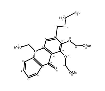 COCOc1cc(CO[SiH2]C(C)(C)C)c(OCOC)c(OCOC)c1C(=O)c1ccccc1